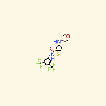 CS[C@]1(C(=O)NCc2cc(C(F)(F)F)cc(C(F)(F)F)c2)CC[C@@H](NC2CCOCC2)C1